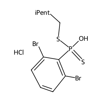 CCCC(C)CSP(O)(=S)c1c(Br)cccc1Br.Cl